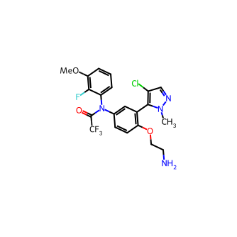 COc1cccc(N(C(=O)C(F)(F)F)c2ccc(OCCN)c(-c3c(Cl)cnn3C)c2)c1F